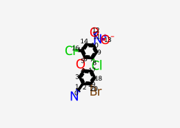 N#Cc1cc(Oc2c(Cl)cc([N+](=O)[O-])cc2Cl)ccc1Br